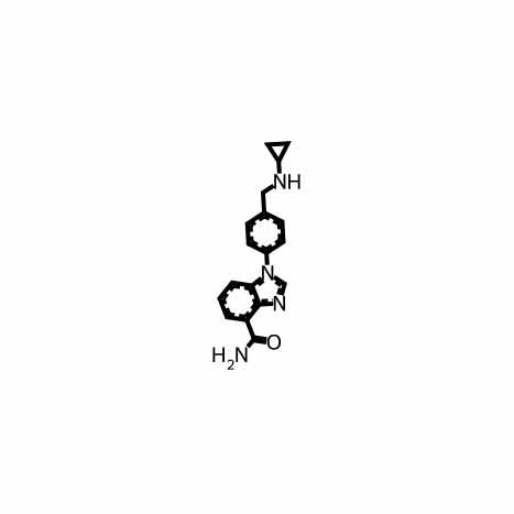 NC(=O)c1cccc2c1ncn2-c1ccc(CNC2CC2)cc1